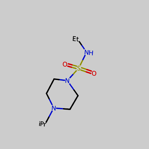 CCNS(=O)(=O)N1CCN(C(C)C)CC1